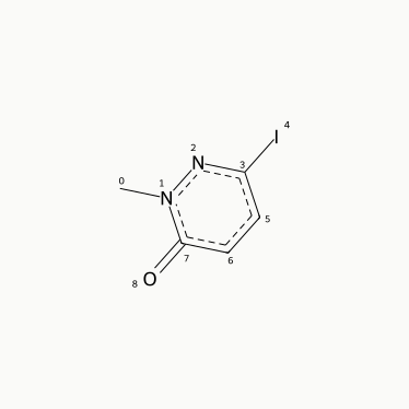 Cn1nc(I)ccc1=O